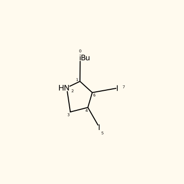 CCC(C)C1NCC(I)C1I